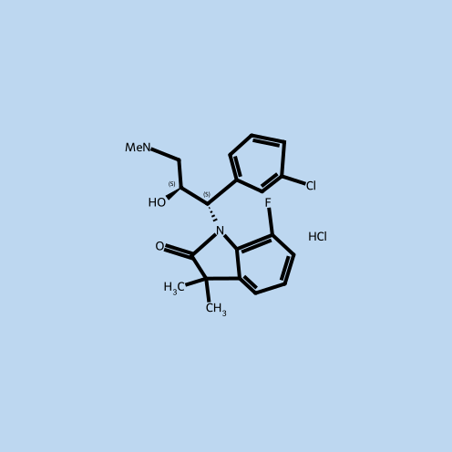 CNC[C@H](O)[C@H](c1cccc(Cl)c1)N1C(=O)C(C)(C)c2cccc(F)c21.Cl